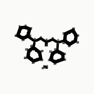 [Pd].c1ccc(P(CNCP(c2ccccc2)c2ccccc2)c2ccccc2)cc1